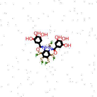 O=C(Nc1c(SF)c(SF)c(SF)c(SF)c1N(SF)C(=O)c1cc(O)c(O)c(O)c1)c1cc(O)c(O)c(O)c1